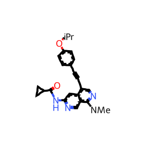 CNc1ncc(C#Cc2ccc(OC(C)C)cc2)c2cc(NC(=O)C3CC3)ncc12